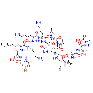 CSCC[C@H](NC(=O)[C@@H]1CCCC1C(=O)[C@@H](NC(=O)[C@H](CC(C)C)NC(=O)[C@H](CC(N)=O)NC(=O)[C@H](CCCCN)NC(=O)[C@H](CCCCN)NC(=O)[C@H](CCCCN)NC(=O)[C@H](CCCCN)NC(=O)[C@H](CO)NC(=O)[C@H](CS)NC(C)=O)C(C)C)C(=O)N[C@H](C(=O)N[C@@H](C)C(=O)N[C@H](C(=O)N[C@H](C(=O)O)C(C)C)[C@@H](C)O)C(C)C